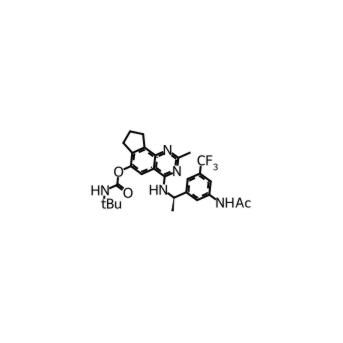 CC(=O)Nc1cc([C@@H](C)Nc2nc(C)nc3c4c(c(OC(=O)NC(C)(C)C)cc23)CCC4)cc(C(F)(F)F)c1